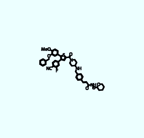 COc1ccc(-c2sc(C(=O)N3CCC(NCc4ccc(/C=C/C(=O)NOC5CCCCO5)cc4)CC3)cc2-c2ccc(C#N)c(F)c2)cc1OCc1ccccc1